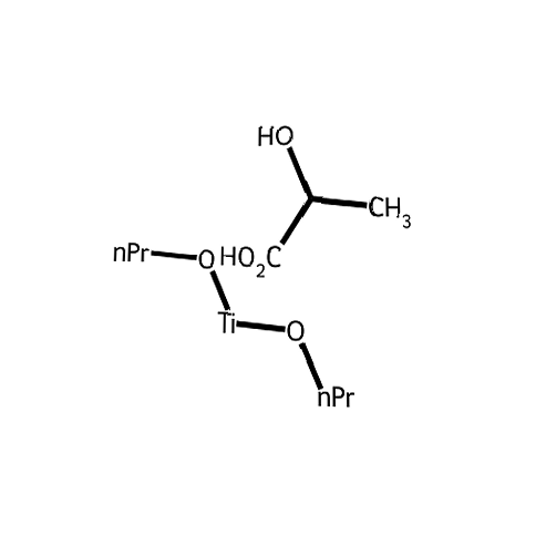 CC(O)C(=O)O.CCC[O][Ti][O]CCC